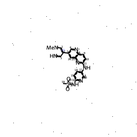 CN/C=C(\C=N)c1cnc2ccc(Nc3ccc(NS(C)(=O)=O)nn3)nc2c1